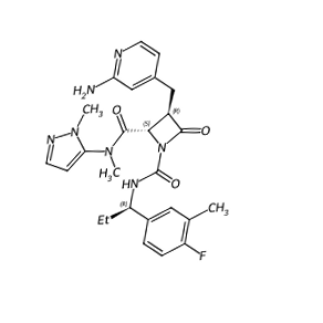 CC[C@@H](NC(=O)N1C(=O)[C@H](Cc2ccnc(N)c2)[C@H]1C(=O)N(C)c1ccnn1C)c1ccc(F)c(C)c1